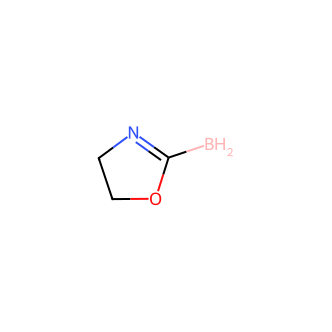 BC1=NCCO1